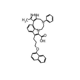 Cc1n[nH]c2c1-c1cccc3c(CCCOc4cccc5ccccc45)c(C(=O)O)n(c13)CCN(c1ccccc1)C2